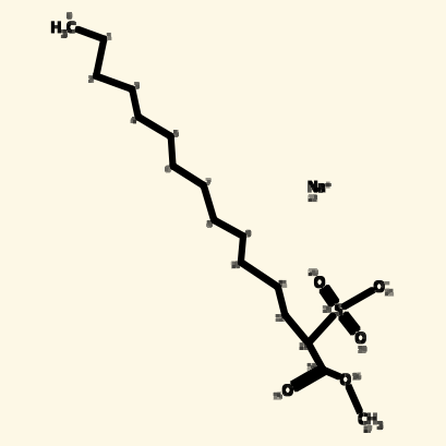 CCCCCCCCCCCCCC(C(=O)OC)S(=O)(=O)[O-].[Na+]